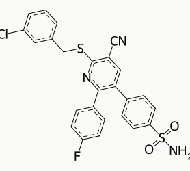 N#Cc1cc(-c2ccc(S(N)(=O)=O)cc2)c(-c2ccc(F)cc2)nc1SCc1cccc(Cl)c1